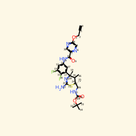 C#CCOc1cnc(C(=O)Nc2cc(F)c(F)c([C@@]3(C)N=C(N)S[C@](C)(CNC(=O)OC(C)(C)C)C3C)c2)cn1